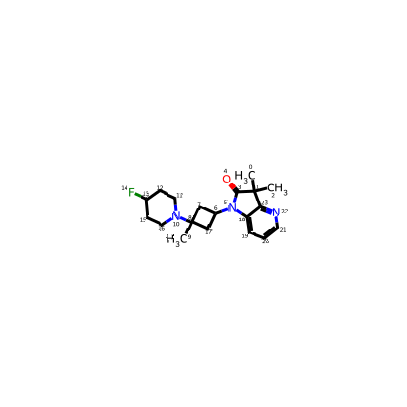 CC1(C)C(=O)N(C2CC(C)(N3CCC(F)CC3)C2)c2cccnc21